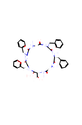 C[C@@H](O)[C@@H]1NC(=O)CNC(=O)[C@H](Cc2ccccc2)NC(=O)[C@H](Cc2ccccc2)NC(=O)CNC(=O)[C@H](Cc2ccccc2)NC(O)[C@H](Cc2ccccc2)NC1O